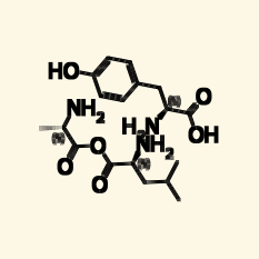 CC(C)C[C@H](N)C(=O)OC(=O)[C@H](C)N.N[C@@H](Cc1ccc(O)cc1)C(=O)O